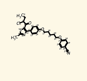 CCC(Cl)C(=O)c1sc(C)nc1-c1ccc(OCCCCCOc2ccc(C#N)cc2)cc1